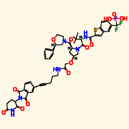 CC(C)(C)[C@H](NC(=O)c1cc2cc(C(F)(F)P(=O)(O)O)ccc2s1)C(=O)N1C[C@@H](OCC(=O)NCCCC#Cc2ccc3c(c2)C(=O)N(C2CCC(=O)NC2=O)C3=O)C[C@H]1C(=O)N1CCO[C@H](c2ccccc2)C1